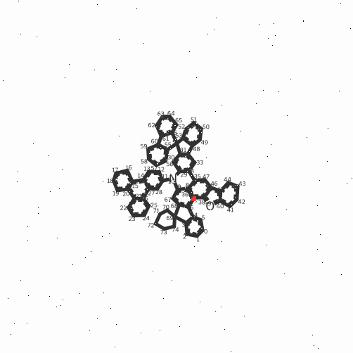 c1ccc2c(c1)-c1ccc(N(c3ccc4c5ccccc5c5ccccc5c4c3)c3cc4c(cc3-c3ccc5oc6ccccc6c5c3)-c3ccccc3C43c4ccccc4-c4ccccc43)cc1C21CCCCC1